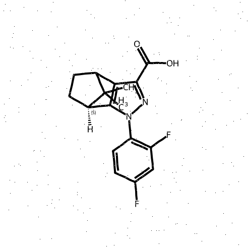 CC1(C)C2CC[C@@H]1c1c2c(C(=O)O)nn1-c1ccc(F)cc1F